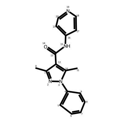 Cc1nn(-c2ccccc2)c(C)c1C(=O)Nc1ccncc1